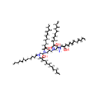 CCCCCCCCCCCCN(CCN(CCCN(CCNC[C@H](O)CCCCCCCCCC)C[C@H](O)CCCCCCCCCC)C[C@H](O)CCCCCCCCCC)C[C@H](O)CCCCCCCCCC